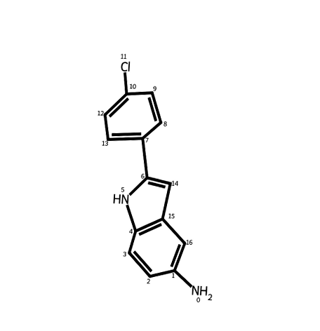 Nc1ccc2[nH]c(-c3ccc(Cl)cc3)cc2c1